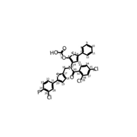 O=C(O)Oc1sc(-c2ccccc2)cc1N(Cc1ccc(-c2ccc(F)c(Cl)c2)s1)C(=O)c1ccc(Cl)cc1Cl